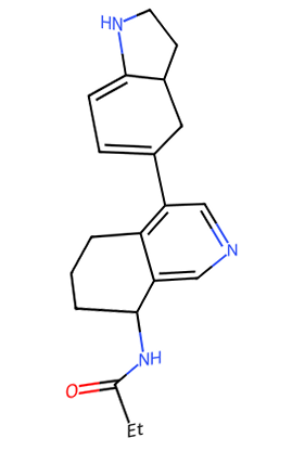 CCC(=O)NC1CCCc2c(C3=CC=C4NCCC4C3)cncc21